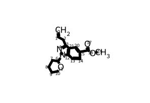 C=CCc1nn(C2CCCCO2)c2ccc(C(=O)OC)cc12